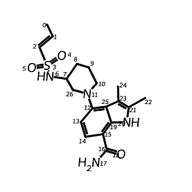 CC=CS(=O)(=O)NC1CCCN(c2ccc(C(N)=O)c3[nH]c(C)c(C)c23)C1